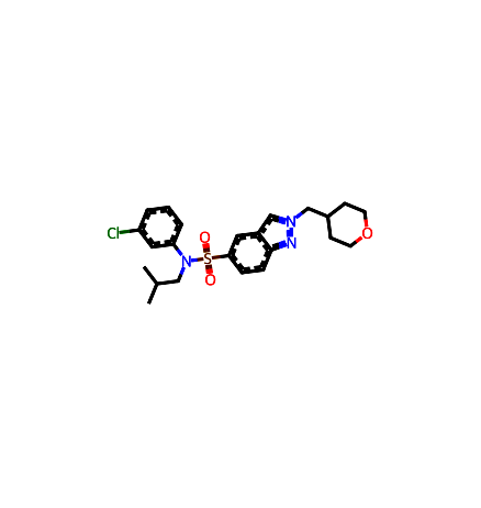 CC(C)CN(c1cccc(Cl)c1)S(=O)(=O)c1ccc2nn(CC3CCOCC3)cc2c1